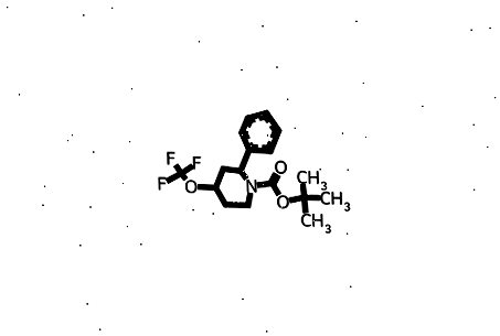 CC(C)(C)OC(=O)N1CCC(OC(F)(F)F)CC1c1ccccc1